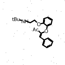 CC(=O)C(=Cc1ccccc1)Oc1ccccc1OCCCNC(C)(C)C